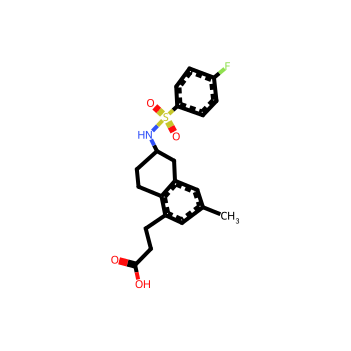 Cc1cc(CCC(=O)O)c2c(c1)CC(NS(=O)(=O)c1ccc(F)cc1)CC2